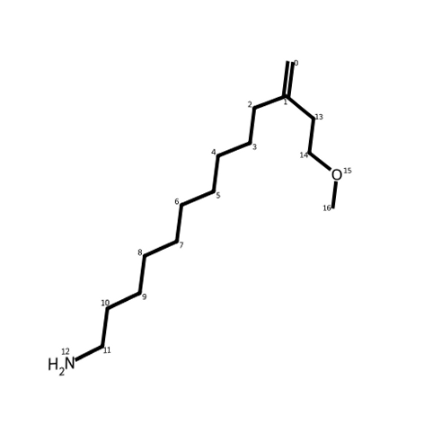 C=C(CCCCCCCCCCN)CCOC